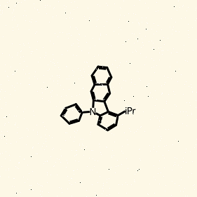 CC(C)c1cccc2c1c1cc3ccccc3cc1n2-c1ccccc1